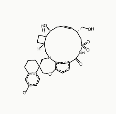 O=C1NS(=O)(=O)C[C@@H](CO)/C=C\C[C@H](O)[C@@H]2CC[C@H]2CN2C[C@@]3(CCCc4cc(Cl)ccc43)COc3ccc1cc32